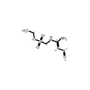 CCOS(=O)(=O)CNC(N)=NN=O